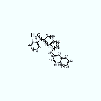 CN(c1ccncc1)c1cnc2nnn(Cc3ccc4ncccc4c3)c2n1